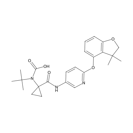 CC1(C)COc2cccc(Oc3ccc(NC(=O)C4(N(C(=O)O)C(C)(C)C)CC4)cn3)c21